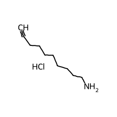 C#CCCCCCCCCN.Cl